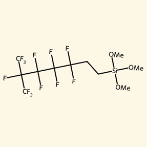 CO[Si](CCC(F)(F)C(F)(F)C(F)(F)C(F)(C(F)(F)F)C(F)(F)F)(OC)OC